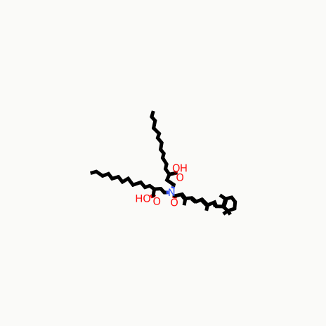 CCCCCCCCCCCCC(CCN(CCC(CCCCCCCCCCCC)C(=O)O)C(=O)/C=C(C)/C=C/C=C(C)/C=C/C1=C(C)CCCC1(C)C)C(=O)O